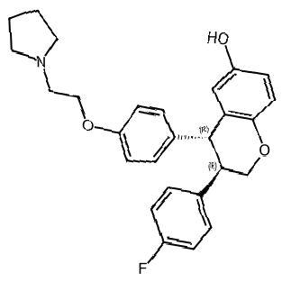 Oc1ccc2c(c1)[C@@H](c1ccc(OCCN3CCCC3)cc1)[C@H](c1ccc(F)cc1)CO2